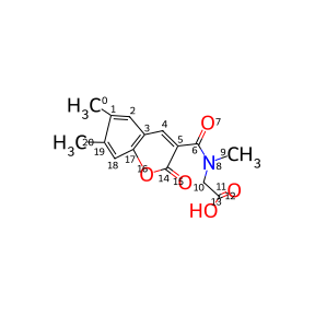 Cc1cc2cc(C(=O)N(C)CC(=O)O)c(=O)oc2cc1C